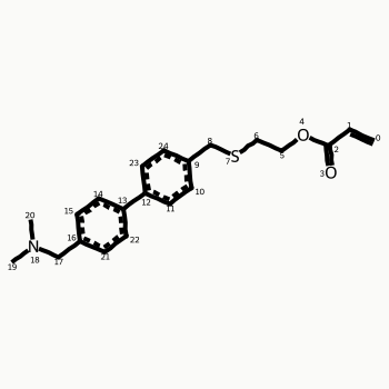 C=CC(=O)OCCSCc1ccc(-c2ccc(CN(C)C)cc2)cc1